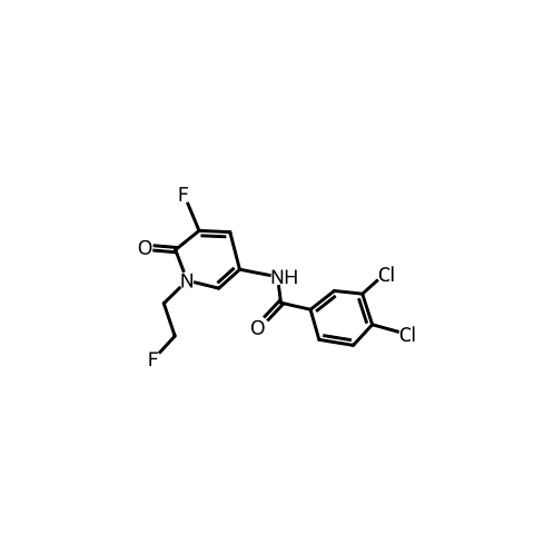 O=C(Nc1cc(F)c(=O)n(CCF)c1)c1ccc(Cl)c(Cl)c1